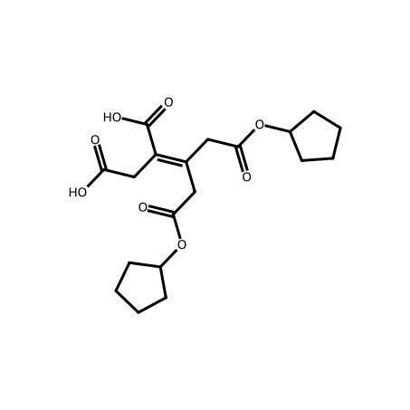 O=C(O)CC(C(=O)O)=C(CC(=O)OC1CCCC1)CC(=O)OC1CCCC1